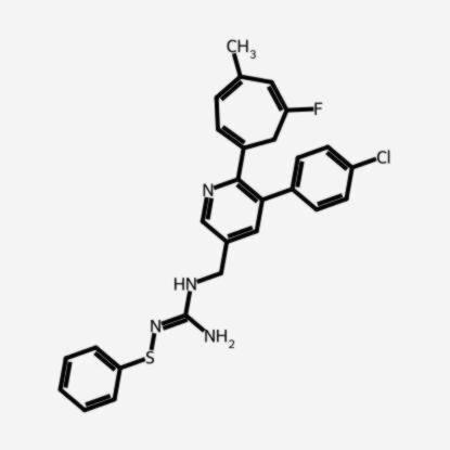 CC1=CC=C(c2ncc(CN/C(N)=N/Sc3ccccc3)cc2-c2ccc(Cl)cc2)CC(F)=C1